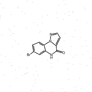 O=c1[nH]c2cc(Br)ccc2n2nccc12